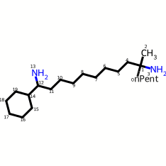 CCCCCC(C)(N)CCCCCCCCC(N)C1CCCCC1